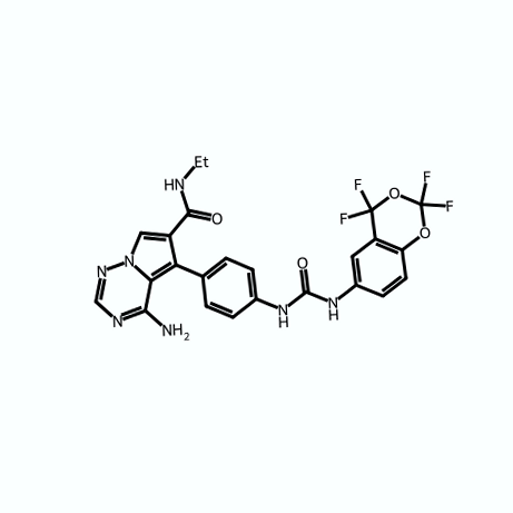 CCNC(=O)c1cn2ncnc(N)c2c1-c1ccc(NC(=O)Nc2ccc3c(c2)C(F)(F)OC(F)(F)O3)cc1